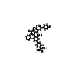 CN1C(=O)N(c2ccccc2)C(c2ccc(-c3ccc(P(=O)(O)O)cc3)cc2O)C1CCCC(O)c1ccc(F)cc1